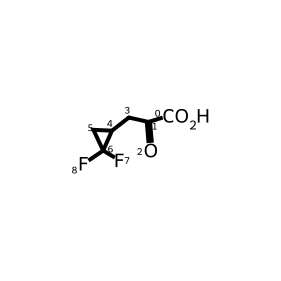 O=C(O)C(=O)CC1CC1(F)F